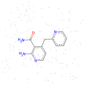 NC(=O)c1c(Cc2ccccn2)ccnc1N